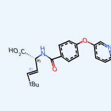 CC(C)(C)/C=C/[C@@H](NC(=O)c1ccc(Oc2cccnc2)cc1)C(=O)O